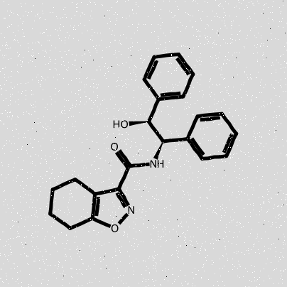 O=C(N[C@H](c1ccccc1)[C@@H](O)c1ccccc1)c1noc2c1CCCC2